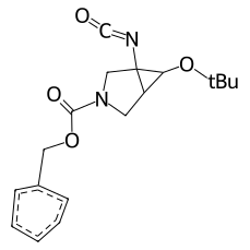 CC(C)(C)OC1C2CN(C(=O)OCc3ccccc3)CC21N=C=O